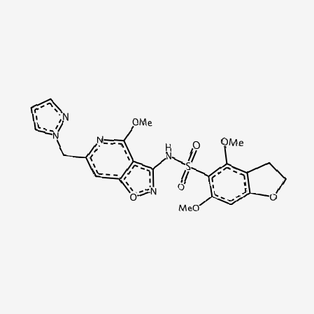 COc1cc2c(c(OC)c1S(=O)(=O)Nc1noc3cc(Cn4cccn4)nc(OC)c13)CCO2